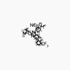 C=CC(=O)N1CCN(c2nc(OCC3(CN(C)C)CC3)nc3c2C[C@@H](C)N(c2cccc(C(F)(F)F)c2C)C3)C[C@@H]1CC#N